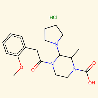 COc1ccccc1CC(=O)N1CCN(C(=O)O)C(C)C1N1CCCC1.Cl